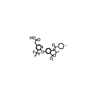 COC(=O)c1cc(Oc2ncc(CC(=O)O)cc2C(F)(F)F)ccc1N(C(=O)[C@H]1CC[C@H](C)CC1)C(C)C